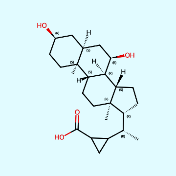 C[C@H](C1CC1C(=O)O)[C@H]1CC[C@H]2[C@@H]3[C@H](O)C[C@@H]4C[C@H](O)CC[C@]4(C)[C@H]3CC[C@]12C